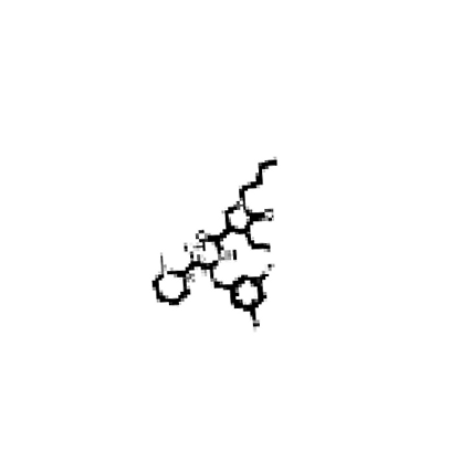 CCCCN1CC(C(=O)N[C@@H](Cc2cc(F)cc(F)c2)[C@H](O)[C@H]2CCCCN2)C(CC)C1=O